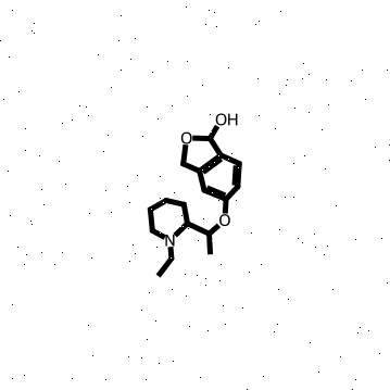 CCN1CCCCC1C(C)Oc1ccc2c(c1)COC2O